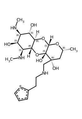 CN[C@@H]1[C@H](O)[C@H](NC)[C@H]2O[C@]3(O)[C@H](O[C@@H]2[C@H]1O)O[C@H](C)C[C@@]3(O)CNCCc1cccs1